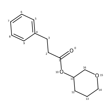 O=C(CCc1ccccc1)OC1CCCOC1